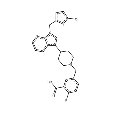 O=C(O)c1cc(CN2CCC(c3cn(Cc4ccc(Cl)s4)c4ncccc34)CC2)ccc1F